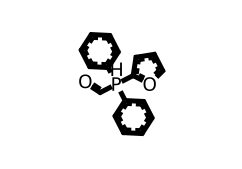 O=C[PH](c1ccccc1)(c1ccccc1)c1ccco1